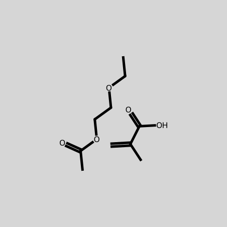 C=C(C)C(=O)O.CCOCCOC(C)=O